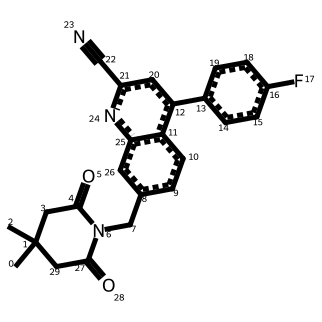 CC1(C)CC(=O)N(Cc2ccc3c(-c4ccc(F)cc4)cc(C#N)nc3c2)C(=O)C1